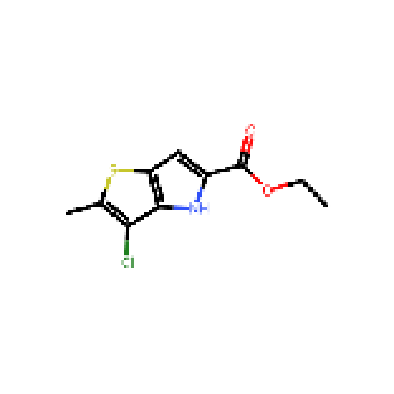 CCOC(=O)c1cc2sc(C)c(Cl)c2[nH]1